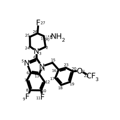 N[C@@H]1CN(c2nc3cc(F)c(F)cc3n2Cc2cccc(OC(F)(F)F)c2)CCC1F